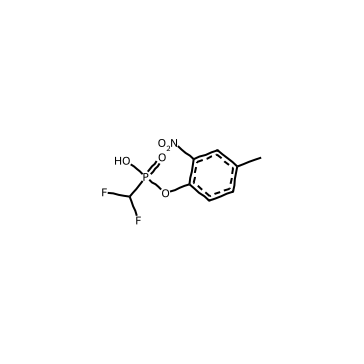 Cc1ccc(OP(=O)(O)C(F)F)c([N+](=O)[O-])c1